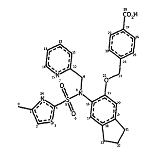 Cc1csc(S(=O)(=O)N(Cc2ccccn2)c2cc3c(cc2OCc2ccc(C(=O)O)cc2)CCC3)n1